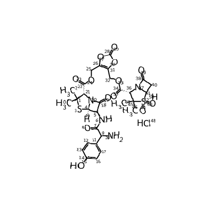 CC1(C)S[C@@H]2C(NC(=O)C(N)c3ccc(O)cc3)C(=O)N2[C@H]1C(=O)OCc1oc(=O)oc1COC(=O)[C@@H]1N2C(=O)C[C@H]2S(=O)(=O)C1(C)C.Cl